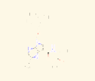 CC(NC(=O)c1cn(COCC[Si](C)(C)C)c2ncc(C3CC3)nc12)C(=O)OC(C)(C)C